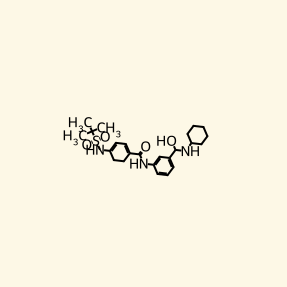 CC(C)(C)S(=O)(=O)NC1=CC=C(C(=O)Nc2cccc(C(O)NC3CCCCC3)c2)CC1